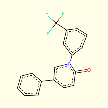 O=c1ccc(-c2ccccc2)cn1-c1cccc(C(F)(F)F)c1